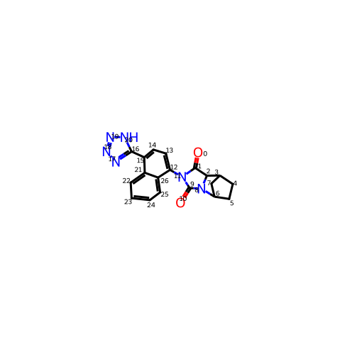 O=C1C2C3CCC(C3)N2C(=O)N1c1ccc(-c2nnn[nH]2)c2ccccc12